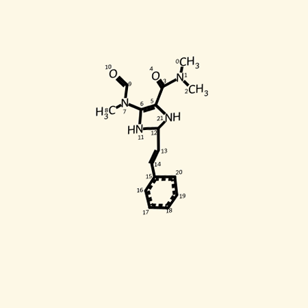 CN(C)C(=O)C1=C(N(C)C=O)NC(/C=C/c2ccccc2)N1